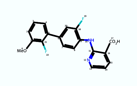 COc1cccc(-c2ccc(Nc3ncccc3C(=O)O)c(F)c2)c1F